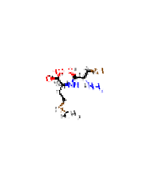 CSCC[C@H](NC(=O)[C@@H](N)CS)C(=O)O